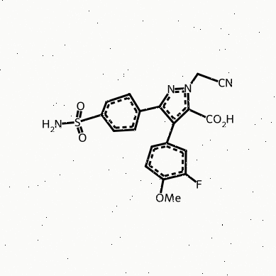 COc1ccc(-c2c(-c3ccc(S(N)(=O)=O)cc3)nn(CC#N)c2C(=O)O)cc1F